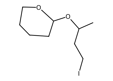 CC(CCI)OC1CCCCO1